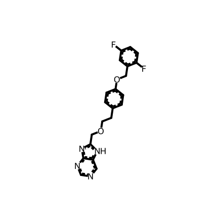 Fc1ccc(F)c(COc2ccc(CCOCc3nc4ncncc4[nH]3)cc2)c1